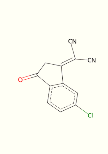 N#CC(C#N)=C1CC(=O)c2ccc(Cl)cc21